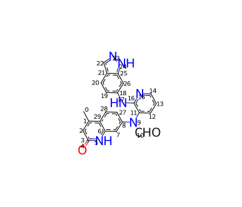 Cc1cc(=O)[nH]c2cc(N(C=O)c3cccnc3Nc3ccc4cn[nH]c4c3)ccc12